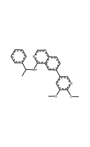 COc1cc(-c2ccc3ncnc(NC(C)c4ccccc4)c3c2)cnc1OC